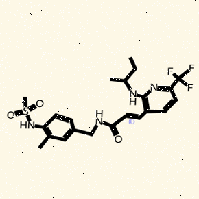 CCC(C)Nc1nc(C(F)(F)F)ccc1/C=C/C(=O)NCc1ccc(NS(C)(=O)=O)c(C)c1